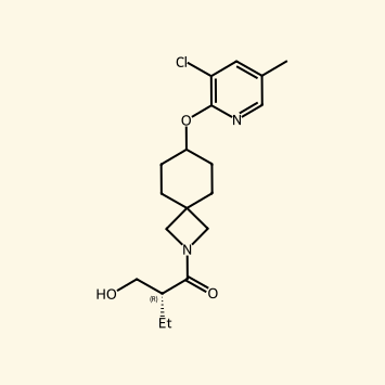 CC[C@H](CO)C(=O)N1CC2(CCC(Oc3ncc(C)cc3Cl)CC2)C1